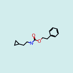 O=C([N]CCC1CC1)OCCc1ccccc1